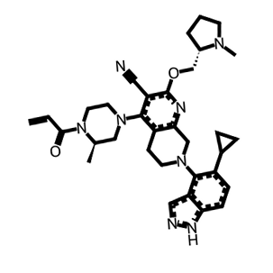 C=CC(=O)N1CCN(c2c(C#N)c(OC[C@@H]3CCCN3C)nc3c2CCN(c2c(C4CC4)ccc4[nH]ncc24)C3)C[C@H]1C